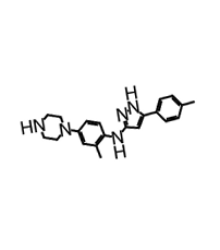 Cc1ccc(-c2cc(Nc3ccc(N4CCNCC4)cc3C)n[nH]2)cc1